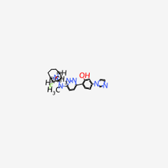 CN(c1ccc(-c2ccc(-n3ccnc3)cc2O)nn1)[C@@H]1C[C@H]2CCC[C@@H]([C@H]1F)N2C